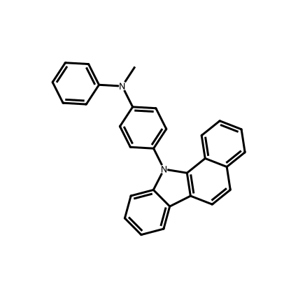 CN(c1ccccc1)c1ccc(-n2c3ccccc3c3ccc4ccccc4c32)cc1